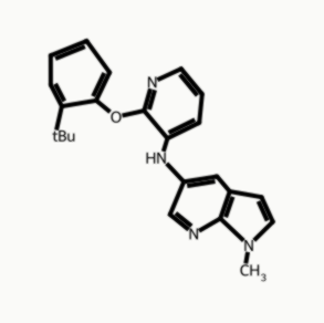 Cn1ccc2cc(Nc3cccnc3Oc3ccccc3C(C)(C)C)cnc21